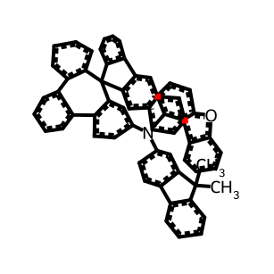 CC1(C)c2ccccc2-c2ccc(N(c3ccc4c(c3)C3(c5ccccc5-c5ccccc5-4)c4ccccc4-c4cc5ccccc5cc43)c3cccc4oc5ccccc5c34)cc21